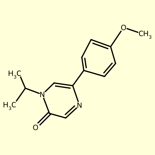 COc1ccc(-c2cn(C(C)C)c(=O)cn2)cc1